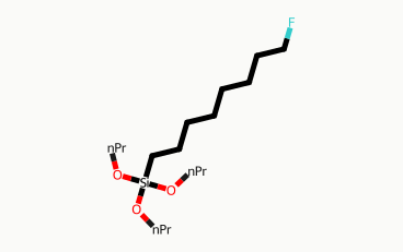 CCCO[Si](CCCCCCCCF)(OCCC)OCCC